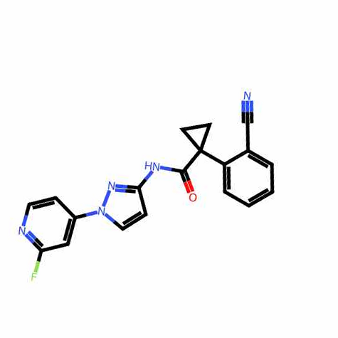 N#Cc1ccccc1C1(C(=O)Nc2ccn(-c3ccnc(F)c3)n2)CC1